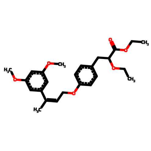 CCOC(=O)C(Cc1ccc(OC/C=C(/C)c2cc(OC)cc(OC)c2)cc1)OCC